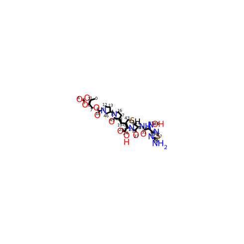 Cc1oc(=O)oc1COC(=O)N1CC[C@@H](N2CCC(=CC3=C(C(=O)O)N4C(=O)[C@@H](NC(=O)C(=NO)c5nsc(N)n5)[C@H]4SC3)C2=O)C1